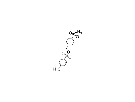 Cc1ccc(S(=O)(=O)OCC2CCC(S(C)(=O)=O)CC2)cc1